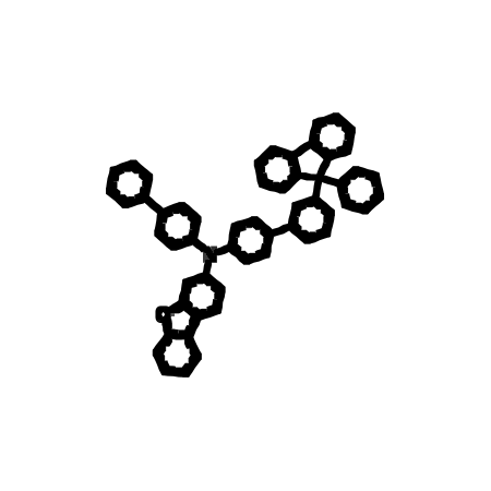 c1ccc(-c2ccc(N(c3ccc(-c4cccc(C5(c6ccccc6)c6ccccc6-c6ccccc65)c4)cc3)c3ccc4c(c3)oc3ccccc34)cc2)cc1